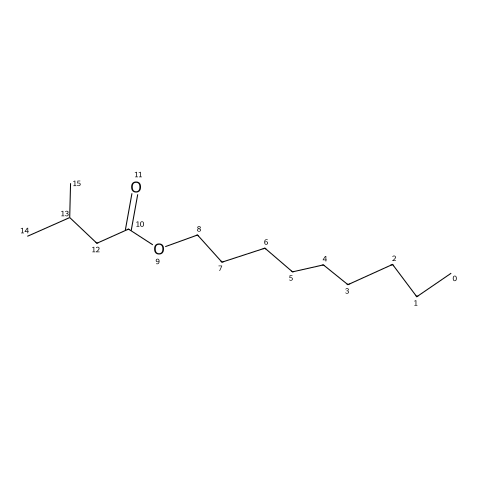 CCCCCCCCCOC(=O)CC(C)C